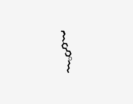 C/C=C\CCC[C@H]1CC[C@H]([C@H]2CC[C@H](OCCCCCC)CC2)CC1